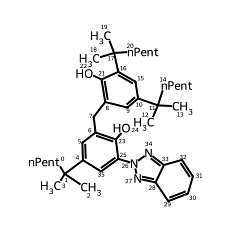 CCCCCC(C)(C)c1cc(Cc2cc(C(C)(C)CCCCC)cc(C(C)(C)CCCCC)c2O)c(O)c(-n2nc3ccccc3n2)c1